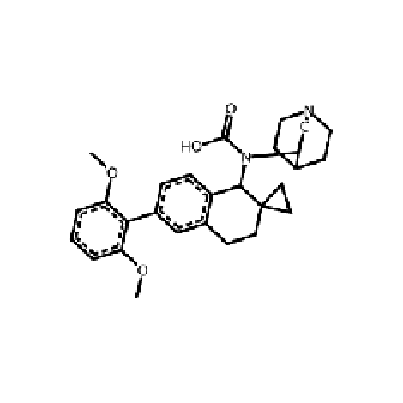 COc1cccc(OC)c1-c1ccc2c(c1)CCC1(CC1)[C@@H]2N(C(=O)O)C1CN2CCC1CC2